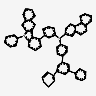 C1=CC(c2cc(-c3ccccc3)cc(-c3ccc(N(c4cccc(-c5cccc6c5c5cc7ccccc7cc5n6-c5ccccc5)c4)c4ccc5c(ccc6ccccc65)c4)cc3)c2)=CCC1